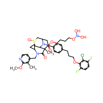 COc1nccc(CN(C(=O)C2(C)C(c3ccc(CCCOc4c(F)ccc(F)c4Cl)cc3)CC3C[S+]([O-])CC2N3C(=O)OCCCCON(O)O)C2CC2)c1C